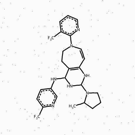 CC1CCCN1C1NC2=C(CCN(c3ncccc3C(F)(F)F)C=C2)C(Nc2ccc(C(F)(F)F)nc2)N1